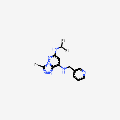 CCC(CC)Nc1cc(NCc2cccnc2)c2nnc(C(C)C)n2n1